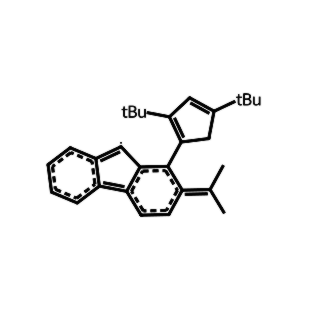 CC(C)=c1ccc2c(c1C1=C(C(C)(C)C)C=C(C(C)(C)C)C1)[C]=c1ccccc1=2